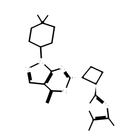 Cc1nc([C@@H]2CC[C@H]2c2nc3c(cnn3C3CCC(F)(F)CC3)c(=O)[nH]2)oc1C